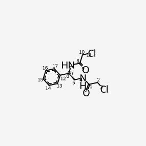 O=C(CCl)NC[C@H](NC(=O)CCl)c1ccccc1